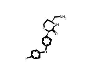 NC[C@@H]1CCS[C@H](c2ccc(Oc3ccc(F)cc3)cc2)C(=O)N1